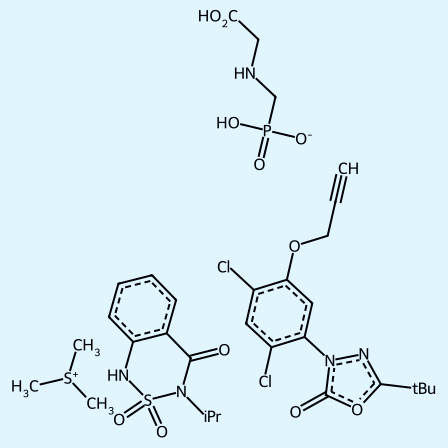 C#CCOc1cc(-n2nc(C(C)(C)C)oc2=O)c(Cl)cc1Cl.CC(C)N1C(=O)c2ccccc2NS1(=O)=O.C[S+](C)C.O=C(O)CNCP(=O)([O-])O